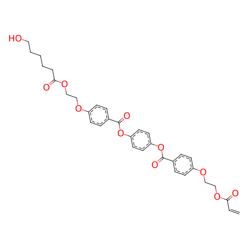 C=CC(=O)OCCOc1ccc(C(=O)Oc2ccc(OC(=O)c3ccc(OCCOC(=O)CCCCCO)cc3)cc2)cc1